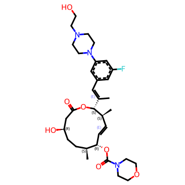 C/C(=C\c1cc(F)cc(N2CCN(CCO)CC2)c1)[C@H]1OC(=O)C[C@H](O)CC[C@H](C)[C@@H](OC(=O)N2CCOCC2)/C=C/[C@@H]1C